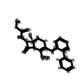 N#CCC(=O)N[C@@H]1C(=O)N2C(C(=O)O)=C(Sc3cccnc3-c3ccccc3)CS[C@H]12